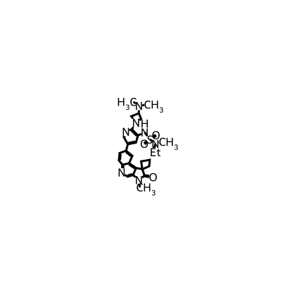 CCN(C)S(=O)(=O)Nc1cc(-c2ccc3ncc4c(c3c2)C2(CCC2)C(=O)N4C)cnc1N1CC(N(C)C)C1